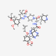 COc1ccc(C2=NN(C3CCN(C(=O)[C@H](Cc4cccnc4)NC(=O)c4c[nH]c5c(-c6c(OCC7CC7)ccc7c6OCO7)ncnc45)CC3)C(=O)C(C)(C)C2)c2c1OC(C)(C)C2